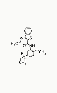 CCSc1c(C(=O)Nc2cc(C(F)(F)CC)ccc2CC)sc2ccccc12